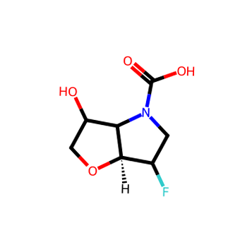 O=C(O)N1CC(F)[C@H]2OCC(O)C21